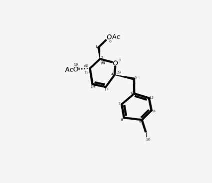 CC(=O)OC[C@H]1O[C@@H](Cc2ccc(I)cc2)C=C[C@@H]1OC(C)=O